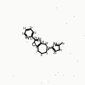 CC1=NC(N2CCCc3oc(-c4ccccn4)nc3C2)=CC1